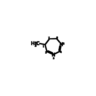 CC1C=NC=NCC1